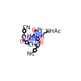 CC(=O)NCCCNC(=O)Nc1cc(C(=O)N2CCC(c3ccc(C#N)cc3)CC2)ccc1C.Cc1ccc(C(=O)N2CCC(c3ccc(C#N)cc3)CC2)cc1NC(=O)NCCCNC(=O)C(C)C